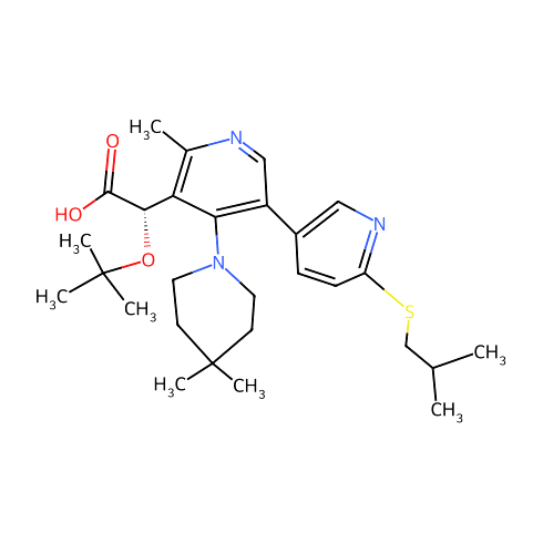 Cc1ncc(-c2ccc(SCC(C)C)nc2)c(N2CCC(C)(C)CC2)c1[C@H](OC(C)(C)C)C(=O)O